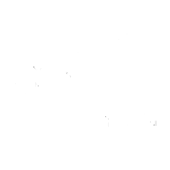 CCC(CNCCCN)c1ccc2c(c1)N(C(=O)Oc1ccc(F)cc1)C[C@H](C)N2C(=O)OC